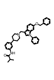 CC(C)C(=O)Nc1cccc(C2CCN(Cc3cn(-c4ccccc4)c4cc(OCc5ccccc5)ccc34)CC2)c1